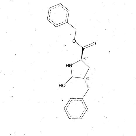 O=C(OCc1ccccc1)[C@H]1C[C@H](Cc2ccccc2)C(O)N1